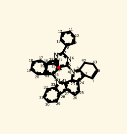 C1=Cc2c(n(-c3nc(-c4ccccc4)nc(-c4ccccc4)n3)c3c2ccc2c4ccccc4n(-c4ccccc4)c23)CC1